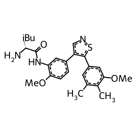 CCC(C)[C@@H](N)C(=O)Nc1cc(-c2cnsc2-c2cc(C)c(C)c(OC)c2)ccc1OC